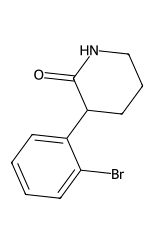 O=C1NCCCC1c1ccccc1Br